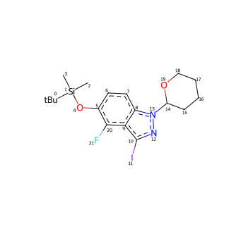 CC(C)(C)[Si](C)(C)Oc1ccc2c(c(I)nn2C2CCCCO2)c1F